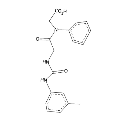 Cc1cccc(NC(=O)NCC(=O)N(CC(=O)O)c2ccccc2)c1